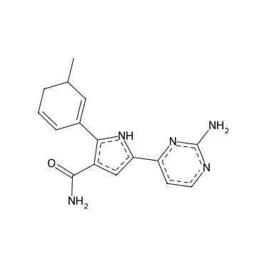 CC1C=C(c2[nH]c(-c3ccnc(N)n3)cc2C(N)=O)C=CC1